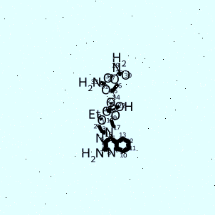 CCOCc1nc2c(N)nc3ccccc3c2n1CCOP(=O)(O)OC[C@@H](COC(N)=O)OC(N)=O